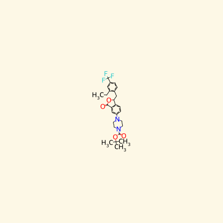 CCc1cc(C(F)(F)F)ccc1CC1OC(=O)c2cc(N3CCN(C(=O)OC(C)(C)C)CC3)ccc21